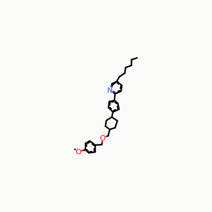 CCCCCCc1ccc(-c2ccc(C3CCC(COCc4ccc(OC)cc4)CC3)cc2)nc1